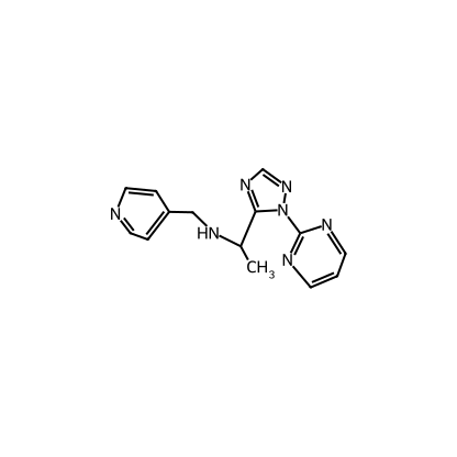 CC(NCc1ccncc1)c1ncnn1-c1ncccn1